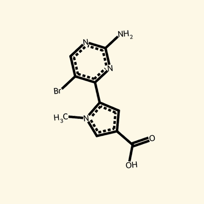 Cn1cc(C(=O)O)cc1-c1nc(N)ncc1Br